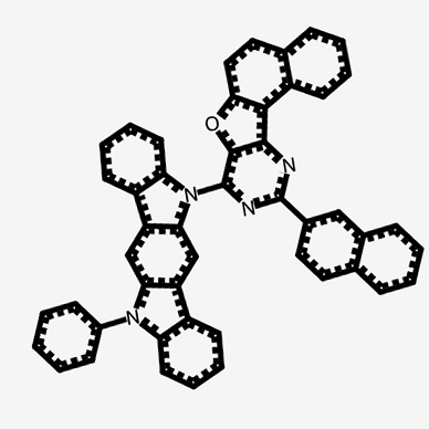 c1ccc(-n2c3ccccc3c3cc4c(cc32)c2ccccc2n4-c2nc(-c3ccc4ccccc4c3)nc3c2oc2ccc4ccccc4c23)cc1